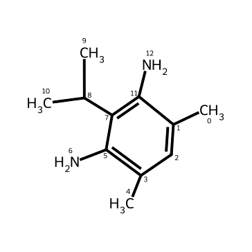 Cc1cc(C)c(N)c(C(C)C)c1N